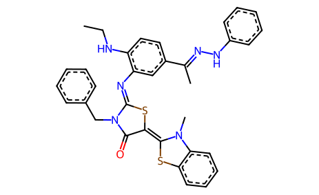 CCNc1ccc(C(C)=NNc2ccccc2)cc1N=C1SC(=C2Sc3ccccc3N2C)C(=O)N1Cc1ccccc1